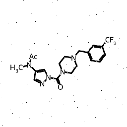 CC(=O)N(C)c1cnn(C(=O)N2CCN(Cc3cccc(C(F)(F)F)c3)CC2)c1